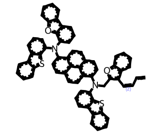 C=C/C=C\c1c(CN(c2ccc3ccc4c(N(c5cccc6c5oc5ccccc56)c5cccc6c5sc5ccccc56)ccc5ccc2c3c54)c2cccc3c2sc2ccccc23)oc2ccccc12